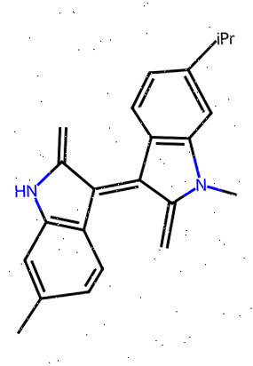 C=c1[nH]c2cc(C)ccc2/c1=c1\c(=C)n(C)c2cc(C(C)C)ccc12